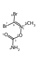 C[N+](OC(N)=O)=C(Br)Br